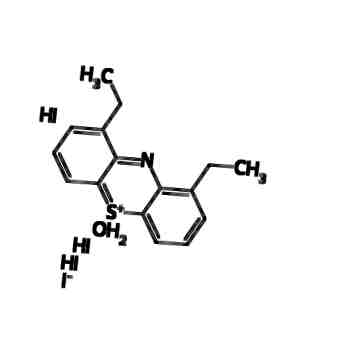 CCc1cccc2[s+]c3cccc(CC)c3nc12.I.I.I.O.[I-]